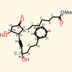 COC(=O)CCCCCC[C@H]1C(=O)C[C@H](O)[C@@H]1C#C[C@](C)(O)CCCc1ccccc1